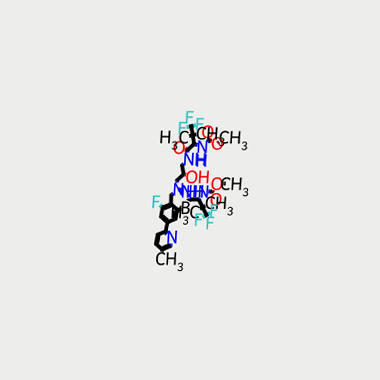 COC(=O)NC(C(=O)NCC(O)CN1Cc2c(F)cc(-c3ccc(C)cn3)cc2B=C(C(NC(=O)OC)C(C)(C)C(F)(F)F)N1)C(C)(C)C(F)(F)F